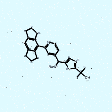 CNC(c1ccnc(-c2c3c(cc4c2CCC4)CCC3)c1)c1cnc(C(C)(C)O)s1